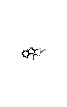 CCOSC1=Nc2ccccc2S1(=S)=S